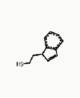 SCCC1C=Cc2ccccc21